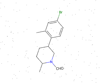 Cc1cc(Br)ccc1C1CCC(C)N(C=O)C1